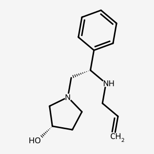 C=CCN[C@H](CN1CC[C@H](O)C1)c1ccccc1